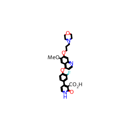 COc1cc2c(Oc3ccc(-c4cc[nH]c(=O)c4C(=O)O)cc3F)ccnc2cc1OCCCN1CCOCC1